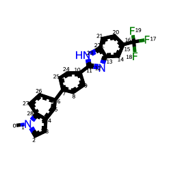 Cn1ccc2cc(-c3ccc(-c4nc5cc(C(F)(F)F)ccc5[nH]4)cc3)ccc21